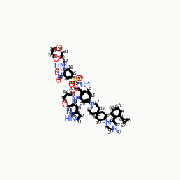 CN1CCN(C2CCC3(CC2)CCN(c2ccc(C(=O)NS(=O)(=O)c4ccc(NC[C@H]5COCCO5)c([N+](=O)[O-])c4)c(N4CCCOc5nc6[nH]ccc6cc54)c2)CC3)C(c2ccccc2C2CC2)C1